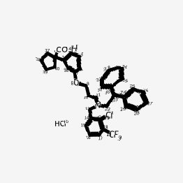 Cl.O=C(O)C1(c2cccc(OCCCN(Cc3cccc(C(F)(F)F)c3Cl)CC(c3ccccc3)c3ccccc3)c2)CCCC1